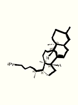 CC(C)CCC[C@@H](C)[C@H]1CC[C@H]2C3=CCC4CC(C)CC[C@]4(C)[C@H]3CC[C@]12C